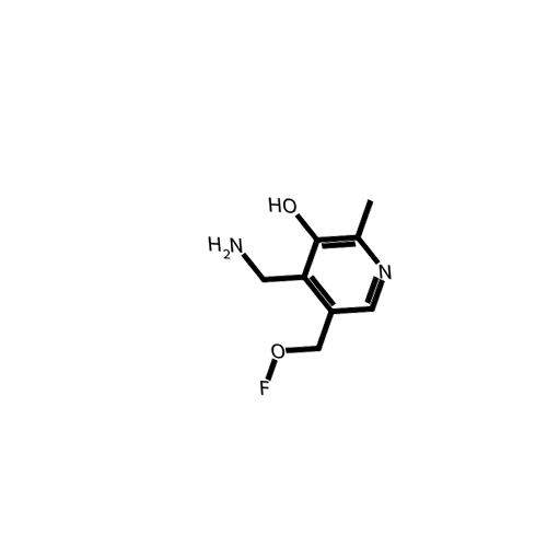 Cc1ncc(COF)c(CN)c1O